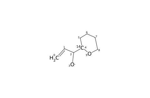 C=CC([O])[14CH]1CCCCO1